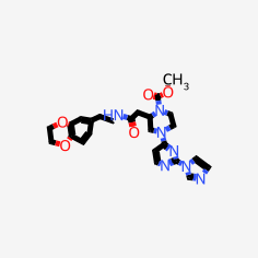 COC(=O)N1CCN(c2ccnc(-n3ccnc3)n2)CC1CC(=O)NCCc1ccc2c(c1)OCCO2